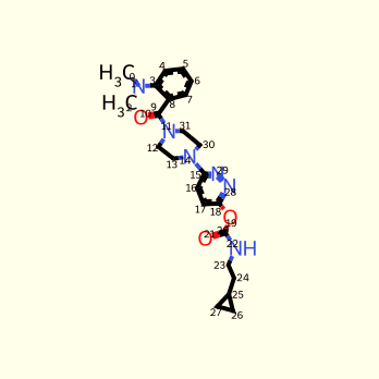 CN(C)c1ccccc1C(=O)N1CCN(c2ccc(OC(=O)NCCC3CC3)nn2)CC1